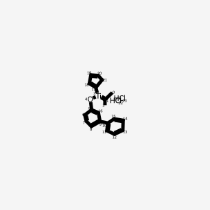 C[C](C)=[Ti]([O]c1cccc(-c2ccccc2)c1)[C]1=CC=CC1.Cl.Cl